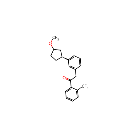 O=C(Cc1cccc([C@H]2CCC(OC(F)(F)F)C2)c1)c1ccccc1C(F)(F)F